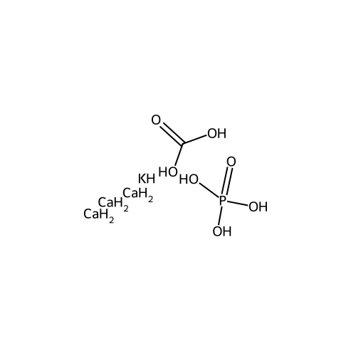 O=C(O)O.O=P(O)(O)O.[CaH2].[CaH2].[CaH2].[KH]